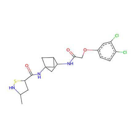 CC1CC(C(=O)NC23CC(C2)C(NC(=O)COc2ccc(Cl)c(Cl)c2)C3)SN1